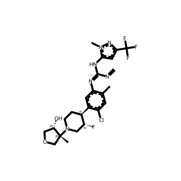 C=N/C(=N\c1cc([C@@H]2CCN([C@]3(C)COC[C@@H]3O)C[C@H]2F)c(Cl)cc1C)Nc1cc(C(F)(F)F)nn1C